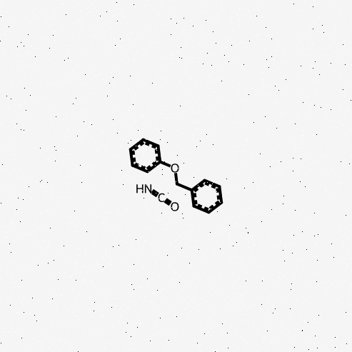 N=C=O.c1ccc(COc2ccccc2)cc1